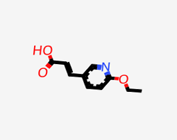 CCOc1ccc(C=CC(=O)O)cn1